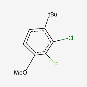 COc1ccc(C(C)(C)C)c(Cl)c1F